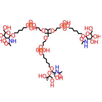 CC(=O)NC1C(OCCCCCCOP(=O)(O)OCCCOCC(COCCCOP(=O)(O)OCCCCCCOC2OC(CO)C(O)C(O)C2NC(C)=O)(COCCCOP(=O)(O)OCCCCCCOC(OC(CO)[C@@H](C)O)[C@H](CO)NC(C)=O)C(C)C)OC(CO)C(O)C1O